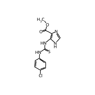 COC(=O)c1nc[nH]c1NC(=S)Nc1ccc(Cl)cc1